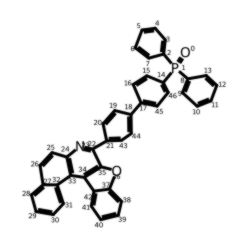 O=P(c1ccccc1)(c1ccccc1)c1ccc(-c2ccc(-c3nc4ccc5ccccc5c4c4c3oc3ccccc34)cc2)cc1